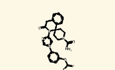 NC(=O)N1CCC2(CC1)c1ccccc1CC(=O)N2c1cn(-c2cccc(OC(F)F)c2)cn1